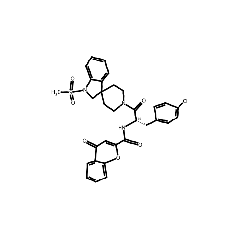 CS(=O)(=O)N1CC2(CCN(C(=O)[C@H](Cc3ccc(Cl)cc3)NC(=O)c3cc(=O)c4ccccc4o3)CC2)c2ccccc21